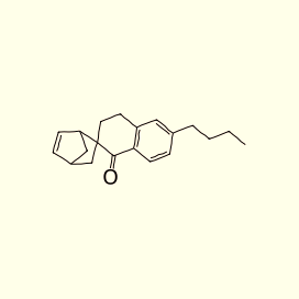 CCCCc1ccc2c(c1)CCC1(CC3C=CC1C3)C2=O